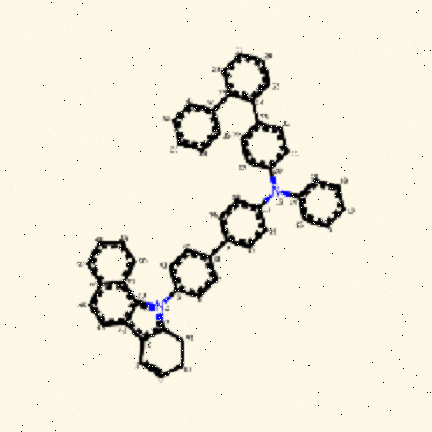 C1=Cc2c(n(-c3ccc(-c4ccc(N(c5ccccc5)c5ccc(-c6ccccc6-c6ccccc6)cc5)cc4)cc3)c3c2ccc2ccccc23)CC1